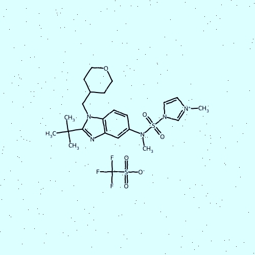 CN(c1ccc2c(c1)nc(C(C)(C)C)n2CC1CCOCC1)S(=O)(=O)n1cc[n+](C)c1.O=S(=O)([O-])C(F)(F)F